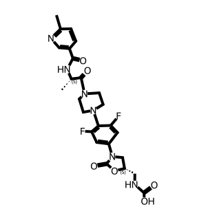 Cc1ccc(C(=O)N[C@@H](C)C(=O)N2CCN(c3c(F)cc(N4C[C@H](CNC(=O)O)OC4=O)cc3F)CC2)cn1